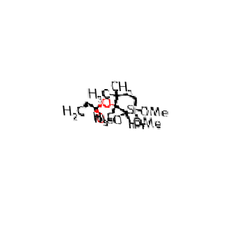 C=CC(=O)OC1(C)C(C)(C)CC[Si](OC)(OC)C1(CCC)OC